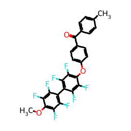 COc1c(F)c(F)c(-c2c(F)c(F)c(Oc3ccc(C(=O)c4ccc(C)cc4)cc3)c(F)c2F)c(F)c1F